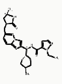 CCn1nccc1C(=O)N[C@H](c1cn2nc(CC3C[C@@H](C)NC3=O)ccc2n1)[C@H]1CC[C@H](C)CC1